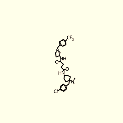 CN(C)C1(Cc2ccc(Cl)cc2)CCC(NC(=O)CCC(=O)NC2CCN(Cc3ccc(C(F)(F)F)cc3)C2)CC1